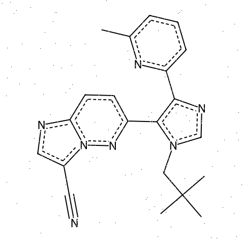 Cc1cccc(-c2ncn(CC(C)(C)C)c2-c2ccc3ncc(C#N)n3n2)n1